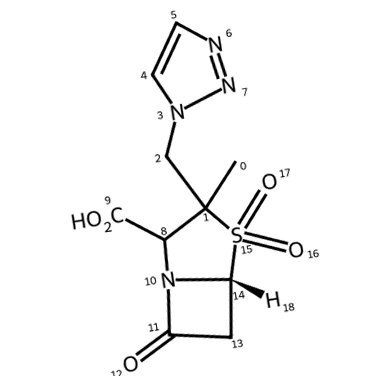 CC1(Cn2ccnn2)C(C(=O)O)N2C(=O)C[C@H]2S1(=O)=O